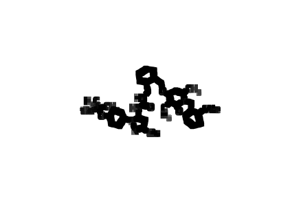 CSc1ccccc1Cn1c(C)cc(OCc2ccccc2CNC(=O)Nc2cc(C(C)(C)C)nn2-c2ccc(O[Si](C)(C)C(C)(C)C)cc2)c(C)c1=O